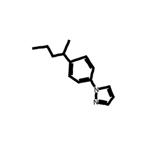 CCCC(C)c1ccc(-n2cccn2)cc1